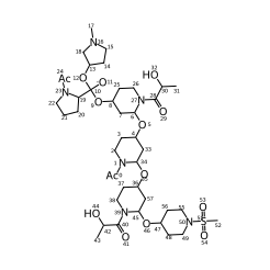 CC(=O)N1CCC(OC2CC(OC([O])(OC3CCN(C)C3)C3CCCN3C(C)=O)CCN2C(=O)C(C)O)CC1OC1CCN(C(=O)C(C)O)C(OC2CCN(S(C)(=O)=O)CC2)C1